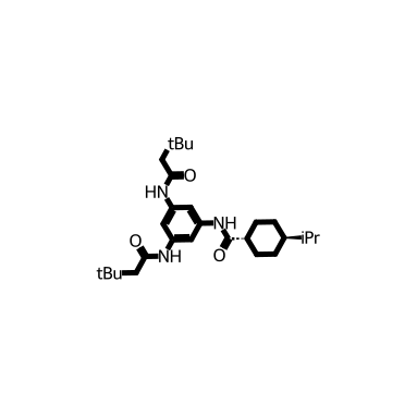 CC(C)[C@H]1CC[C@H](C(=O)Nc2cc(NC(=O)CC(C)(C)C)cc(NC(=O)CC(C)(C)C)c2)CC1